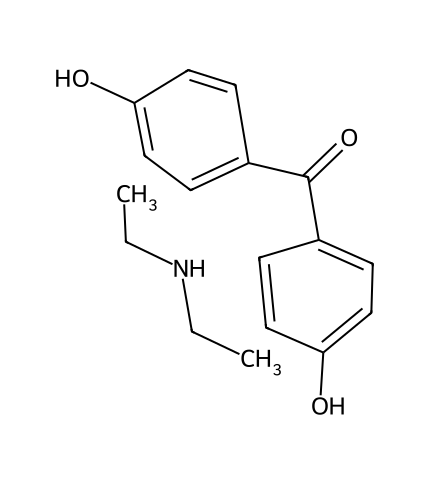 CCNCC.O=C(c1ccc(O)cc1)c1ccc(O)cc1